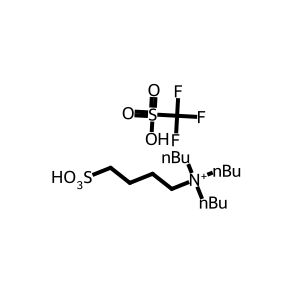 CCCC[N+](CCCC)(CCCC)CCCCS(=O)(=O)O.O=S(=O)(O)C(F)(F)F